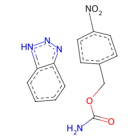 NC(=O)OCc1ccc([N+](=O)[O-])cc1.c1ccc2[nH]nnc2c1